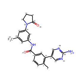 Cc1ccc(C(=O)Nc2cc(N3CCCC3=O)cc(C(F)(F)F)c2)cc1-c1cnc(N)nc1